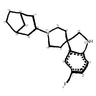 Fc1ccc2c(c1)C1(CCN(C3CC4CCC(C4)C3)CC1)CN2